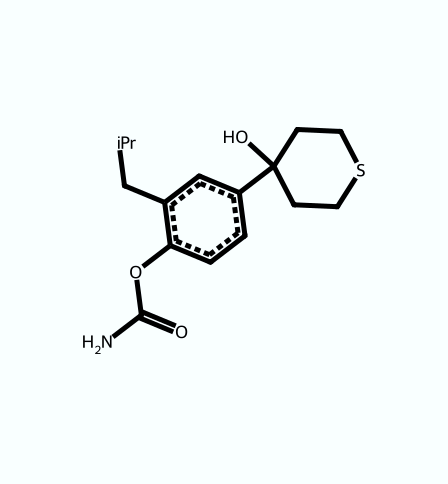 CC(C)Cc1cc(C2(O)CCSCC2)ccc1OC(N)=O